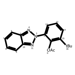 CC(=O)Oc1c(-n2nc3ccccc3n2)cccc1C(C)(C)C